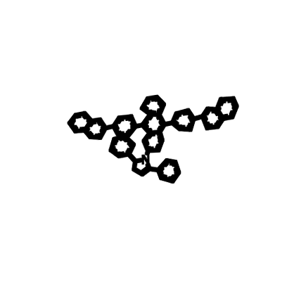 C1=C(c2ccccc2)N(c2ccc3c(-c4ccc(-c5ccc6ccccc6c5)cc4)c4ccccc4c(-c4ccc(-c5ccc6ccccc6c5)cc4)c3c2)C(c2ccccc2)C1